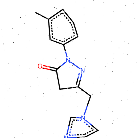 Cc1cccc(N2N=C(Cn3ccnc3)CC2=O)c1